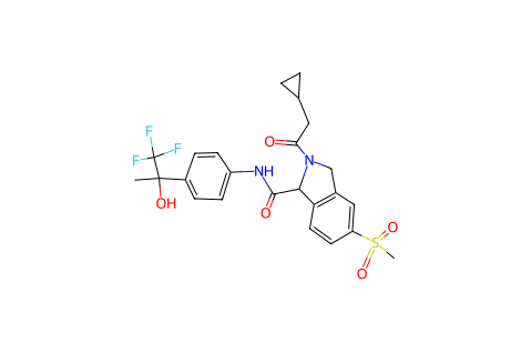 CC(O)(c1ccc(NC(=O)C2c3ccc(S(C)(=O)=O)cc3CN2C(=O)CC2CC2)cc1)C(F)(F)F